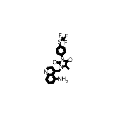 CC1C(=O)N(c2ccc(SC(F)(F)F)cc2)C(=O)N1Cc1ccnc2cccc(N)c12